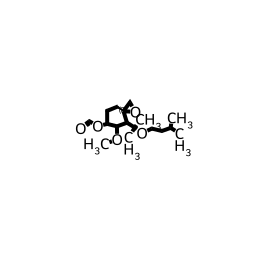 COC1C(OC=O)CC[C@]2(CO2)C1C(C)(C)OCCC(C)C